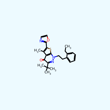 CCc1ccccc1CCn1nc(C(C)(C)C)c(=O)c2c(C)c(-c3ncco3)sc21